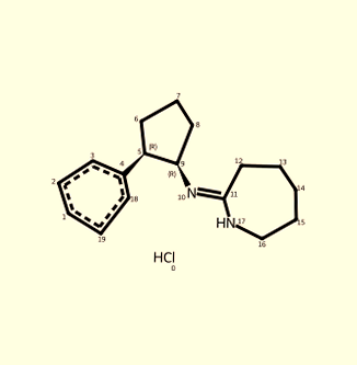 Cl.c1ccc([C@H]2CCC[C@H]2N=C2CCCCCN2)cc1